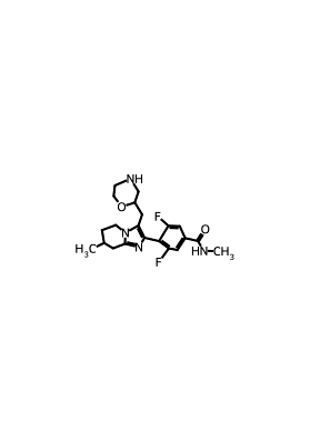 CNC(=O)c1cc(F)c(-c2nc3n(c2CC2CNCCO2)CCC(C)C3)c(F)c1